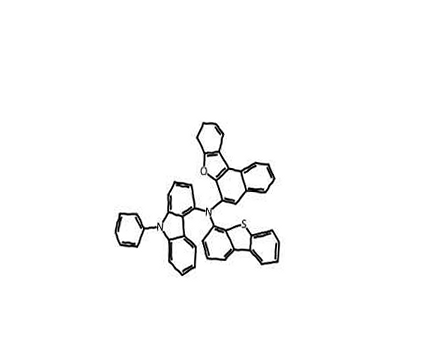 C1=Cc2c(oc3c(N(c4cccc5c4sc4ccccc45)c4cccc5c4c4ccccc4n5-c4ccccc4)cc4ccccc4c23)CC1